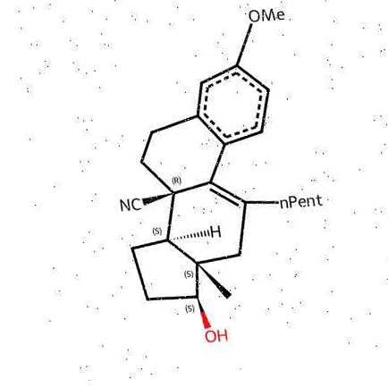 CCCCCC1=C2c3ccc(OC)cc3CC[C@@]2(C#N)[C@@H]2CC[C@H](O)[C@@]2(C)C1